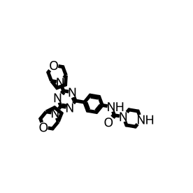 O=C(Nc1ccc(-c2nc(N3C4CCC3COC4)nc(N3C4CCC3COC4)n2)cc1)N1CCNCC1